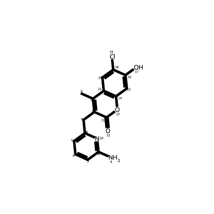 Cc1c(Cc2cccc(N)n2)c(=O)oc2cc(O)c(Cl)cc12